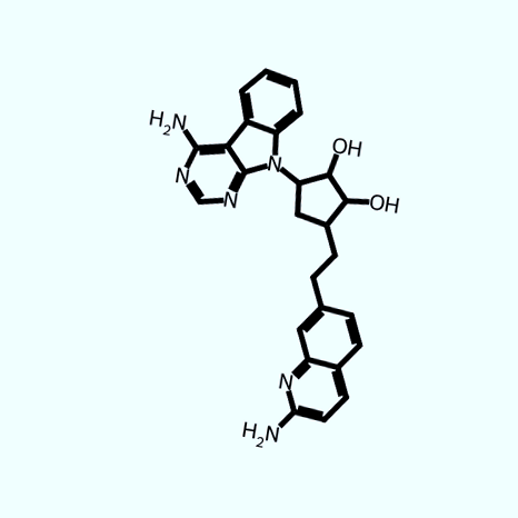 Nc1ccc2ccc(CCC3CC(n4c5ccccc5c5c(N)ncnc54)C(O)C3O)cc2n1